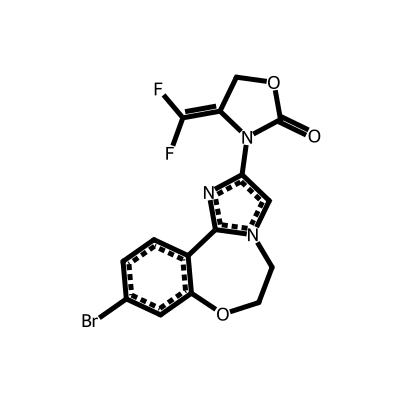 O=C1OCC(=C(F)F)N1c1cn2c(n1)-c1ccc(Br)cc1OCC2